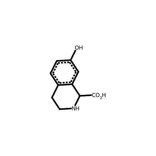 O=C(O)C1NCCc2ccc(O)cc21